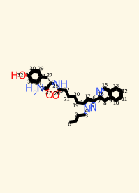 CCCCn1nc(-c2cc3ccccc3cn2)cc1CCCCC(=O)N[C@@H](Cc1ccc(O)cc1)C(N)=O